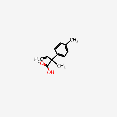 C=CC(C)(C(=O)O)c1ccc(C)cc1